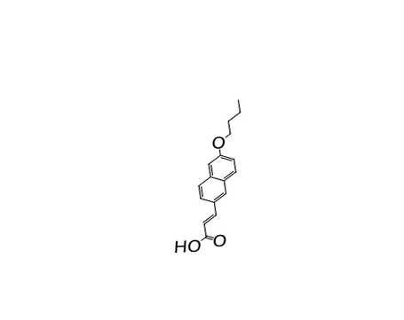 CCCCOc1ccc2cc(/C=C/C(=O)O)ccc2c1